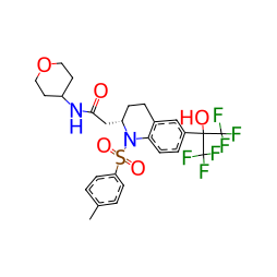 Cc1ccc(S(=O)(=O)N2c3ccc(C(O)(C(F)(F)F)C(F)(F)F)cc3CC[C@H]2CC(=O)NC2CCOCC2)cc1